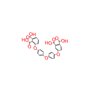 O=C(O)c1ccc(Oc2ccc(Oc3ccc(Oc4cccc(C(=O)O)c4C(=O)O)cc3)cc2)cc1C(=O)O